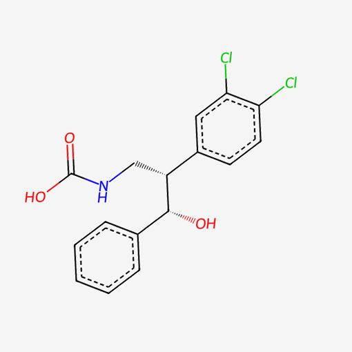 O=C(O)NC[C@H](c1ccc(Cl)c(Cl)c1)[C@H](O)c1ccccc1